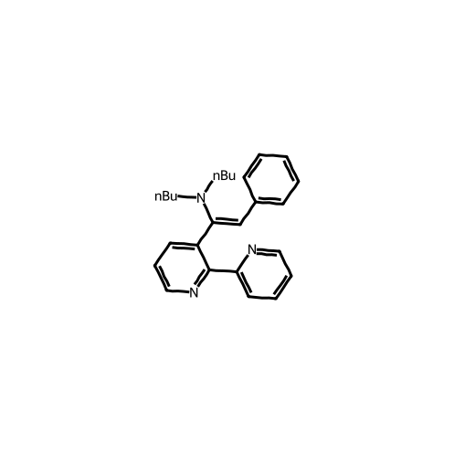 CCCCN(CCCC)C(=Cc1ccccc1)c1cccnc1-c1ccccn1